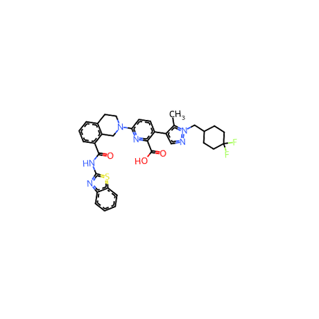 Cc1c(-c2ccc(N3CCc4cccc(C(=O)Nc5nc6ccccc6s5)c4C3)nc2C(=O)O)cnn1CC1CCC(F)(F)CC1